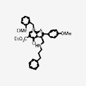 CCOC(=O)c1cn(Cc2ccccc2OC)c2sc(-c3ccc(OC)cc3)c(CNCCCc3ccccc3)c2c1=O